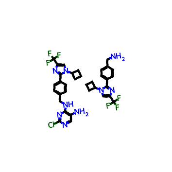 NCc1ccc(-c2nc(C(F)(F)F)cn2C2CCC2)cc1.Nc1cnc(Cl)nc1NCc1ccc(-c2nc(C(F)(F)F)cn2C2CCC2)cc1